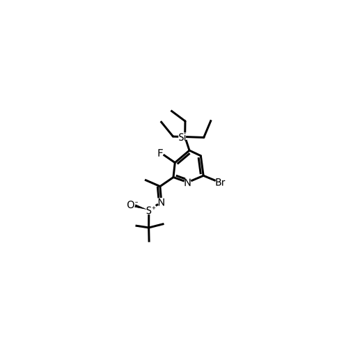 CC[Si](CC)(CC)c1cc(Br)nc(C(C)=N[S@+]([O-])C(C)(C)C)c1F